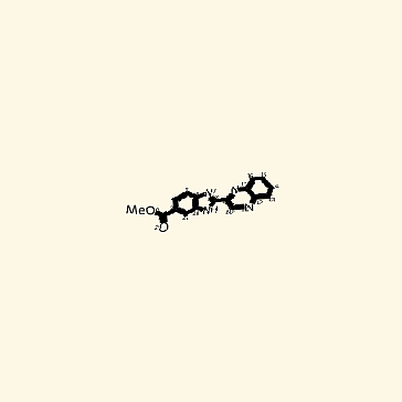 COC(=O)c1ccc2nc(-c3cnc4ccccc4n3)[nH]c2c1